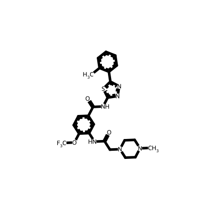 Cc1ccccc1-c1nnc(NC(=O)c2ccc(OC(F)(F)F)c(NC(=O)CN3CCN(C)CC3)c2)s1